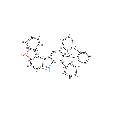 c1ccc2c(c1)-c1ccccc1C21c2ccccc2-c2c1ccc1c2[nH]c2ccc3oc4ccccc4c3c21